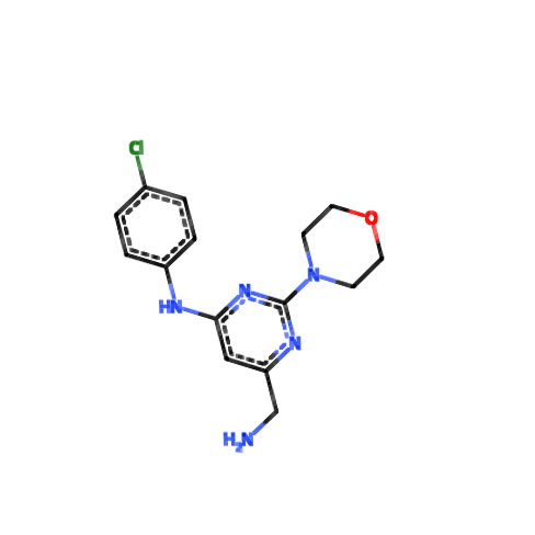 NCc1cc(Nc2ccc(Cl)cc2)nc(N2CCOCC2)n1